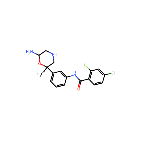 CC1(c2cccc(NC(=O)c3ccc(Cl)cc3F)c2)CNCC(N)O1